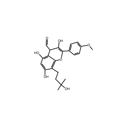 COc1ccc(C2=C(O)C(C=O)c3c(O)cc(O)c(CCC(C)(C)O)c3O2)cc1